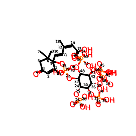 CC1=CC(=O)CC(C)(C)C1(C=C/C(C)=C\C(=O)O)OP(=O)(O)O[C@@H]1[C@@H](OP(=O)(O)O)[C@H](OP(=O)(O)O)[C@@H](OP(=O)(O)O)[C@H](OP(=O)(O)O)[C@@H]1OP(=O)(O)O